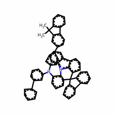 CC1(C)c2ccccc2-c2ccc(-c3ccc(N(c4cccc(-c5ccccc5)c4)c4cccc5c4-n4c6ccccc6c6cccc(c64)C54c5ccccc5-c5ccccc54)cc3)cc21